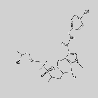 CC(O)COCC(C)(C)S(=O)(=O)C(C)CN1CCc2c(C(=O)NCc3ccc(C#N)cc3)nn(C)c2C1=O